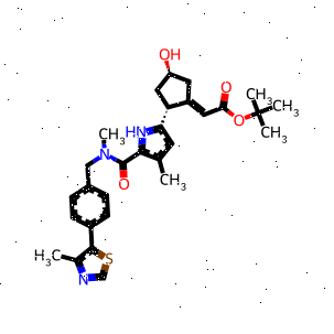 Cc1cc([C@@H]2C[C@@H](O)C/C2=C\C(=O)OC(C)(C)C)[nH]c1C(=O)N(C)Cc1ccc(-c2scnc2C)cc1